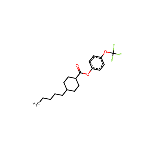 CCCCCC1CCC(C(=O)Oc2ccc(OC(F)(F)F)cc2)CC1